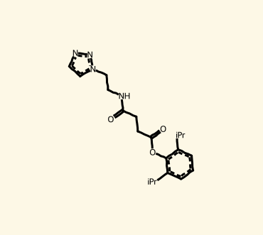 CC(C)c1cccc(C(C)C)c1OC(=O)CCC(=O)NCCn1ccnn1